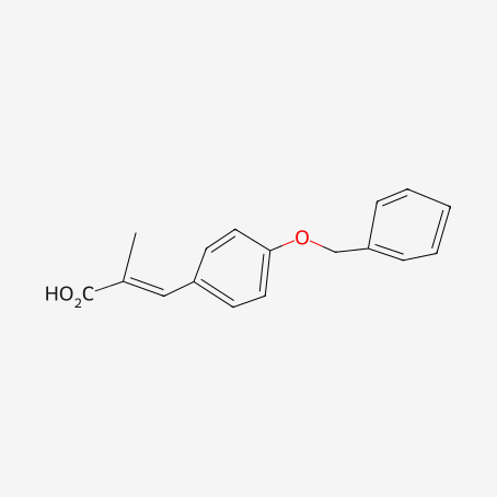 CC(=Cc1ccc(OCc2ccccc2)cc1)C(=O)O